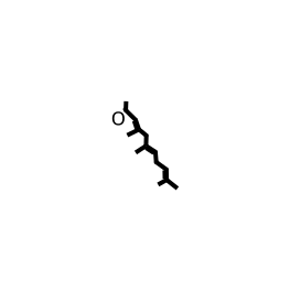 CC(=O)/C=C(\C)C/C(C)=C/CC=C(C)C